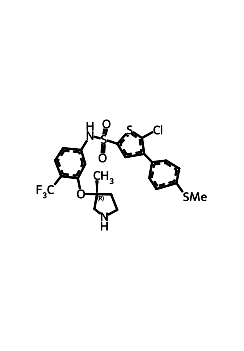 CSc1ccc(-c2cc(S(=O)(=O)Nc3ccc(C(F)(F)F)c(O[C@]4(C)CCNC4)c3)sc2Cl)cc1